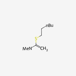 C=C(NC)SCCCCCC